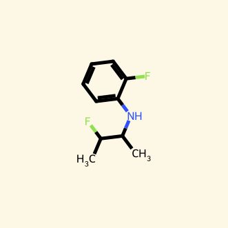 CC(F)C(C)Nc1ccccc1F